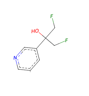 OC(CF)(CF)c1c[c]cnc1